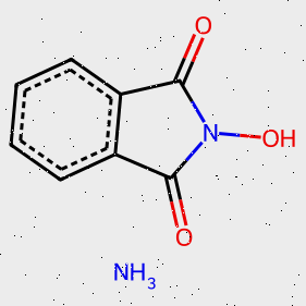 N.O=C1c2ccccc2C(=O)N1O